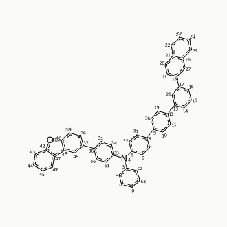 c1ccc(N(c2ccc(-c3ccc(-c4cccc(-c5ccc6ccccc6c5)c4)cc3)cc2)c2ccc(-c3ccc4oc5ccccc5c4c3)cc2)cc1